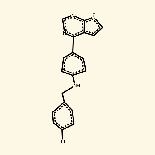 Clc1ccc(CNc2ccc(-c3ncnc4[nH]ccc34)cc2)cc1